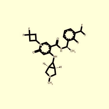 C[C@@H](NC(=O)c1cn(C2CC(F)(F)C2)c(=O)cc1NC1[C@H]2CN(C)C[C@@H]12)c1cccc(C(F)F)c1F